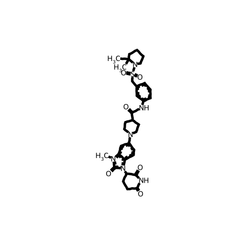 Cn1c(=O)n(C2CCC(=O)NC2=O)c2ccc(N3CCC(C(=O)Nc4cccc(CS(=O)(=O)N5CCCCC5(C)C)c4)CC3)cc21